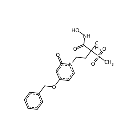 CC(CCn1ccc(OCc2ccccc2)cc1=O)(C(=O)NO)S(C)(=O)=O